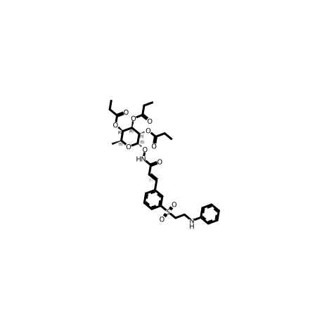 CCC(=O)O[C@H]1[C@H](OC(=O)CC)[C@H](ONC(=O)/C=C/c2cccc(S(=O)(=O)CCNc3ccccc3)c2)O[C@@H](C)[C@H]1OC(=O)CC